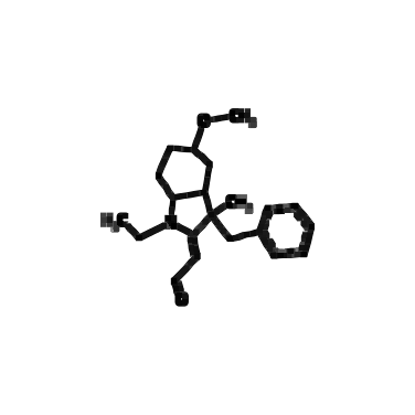 CCN1/C(=C\C=O)C(C)(Cc2ccccc2)C2CC(OC)CCC21